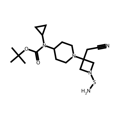 CC(C)(C)OC(=O)N(C1CC1)C1CCN(C2(CC#N)CN(SN)C2)CC1